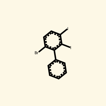 Brc1ccc(I)c(I)c1-c1ccccc1